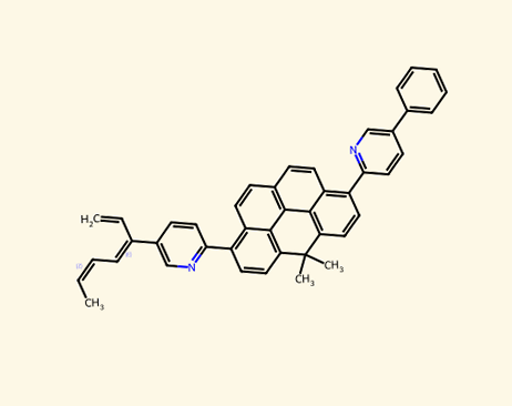 C=C/C(=C\C=C/C)c1ccc(-c2ccc3c4c2ccc2ccc5c(-c6ccc(-c7ccccc7)cn6)ccc(c5c24)C3(C)C)nc1